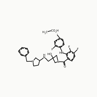 CC(=O)O.O=C(c1ccc(F)c(F)c1Nc1ccc(I)cc1F)N1CC(O)(CNC2CCN(Cc3ccccc3)C2)C1